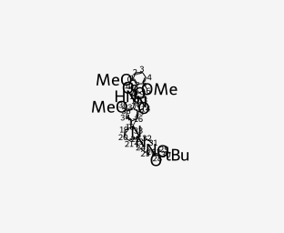 COc1cccc(OC)c1S(=O)(=O)Nc1noc2cc(-c3cccc(N4CCN(C(=O)OC(C)(C)C)CC4)n3)cc(OC)c12